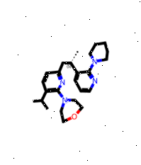 CC(C)c1ccc(C[C@H](C)c2cccnc2N2CCCCC2)nc1N1CCOCC1